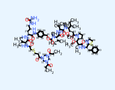 C=CC(=O)N1CN(C(=O)C=C)CN(C(=O)CCSCC(=O)N[C@H](C(=O)N[C@@H](CCCNC(N)=O)C(=O)Nc2ccc(COC(=O)N(C)[C@H](C(=O)N[C@H](C(=O)N(C)[C@@H]([C@H](C)CC)[C@@H](CC(=O)N3CCC[C@H]3[C@H](OC)[C@@H](C)C(=O)N[C@@H](Cc3ccccc3)C3=NCCS3)OC)C(C)C)C(C)C)cc2)C(C)C)C1